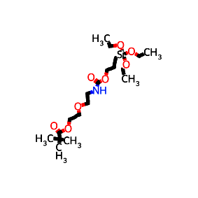 CCO[Si](CCCOC(=O)NCCOCCOC(=O)C(C)(C)C)(OCC)OCC